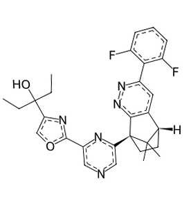 CCC(O)(CC)c1coc(-c2cncc([C@@]34CC[C@@H](c5cc(-c6c(F)cccc6F)nnc53)C4(C)C)n2)n1